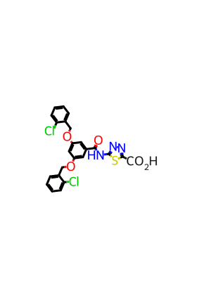 O=C(Nc1nnc(C(=O)O)s1)c1cc(OCc2ccccc2Cl)cc(OCc2ccccc2Cl)c1